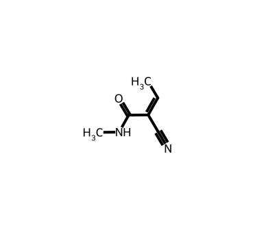 C/C=C(/C#N)C(=O)NC